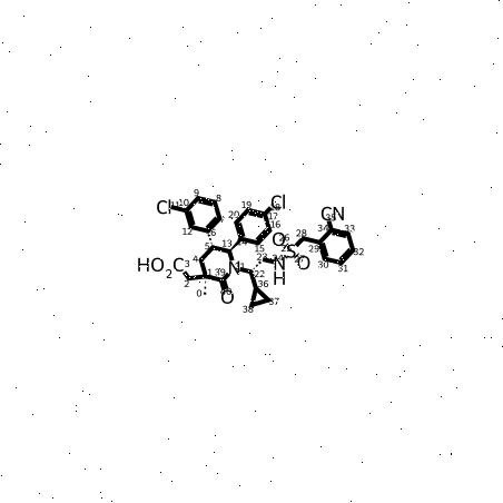 C[C@]1(CC(=O)O)C[C@H](c2cccc(Cl)c2)[C@@H](c2ccc(Cl)cc2)N([C@H](CNS(=O)(=O)Cc2ccccc2C#N)C2CC2)C1=O